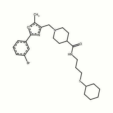 Cc1oc(-c2cccc(Br)c2)nc1CN1CCC(C(=O)NCCCSC2CCCCC2)CC1